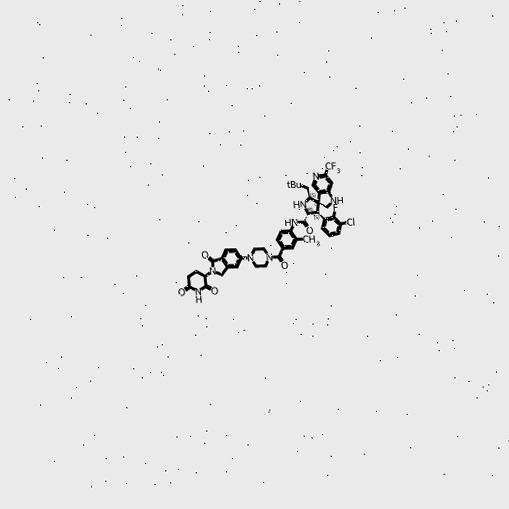 Cc1cc(C(=O)N2CCN(c3ccc4c(c3)CN(C3CCC(=O)NC3=O)C4=O)CC2)ccc1NC(=O)[C@@H]1N[C@@H](CC(C)(C)C)[C@@]2(CNc3cc(C(F)(F)F)ncc32)[C@H]1c1cccc(Cl)c1F